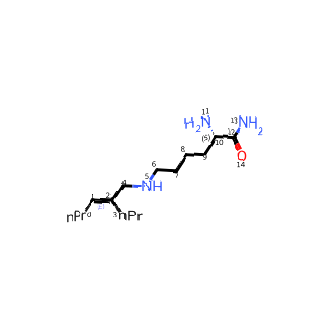 CCC/C=C(\CCC)CNCCCC[C@H](N)C(N)=O